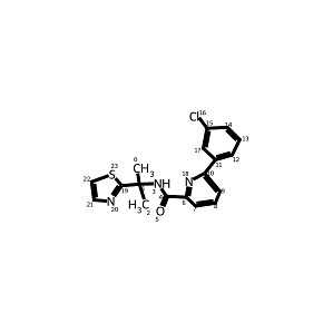 CC(C)(NC(=O)c1cccc(-c2cccc(Cl)c2)n1)c1nccs1